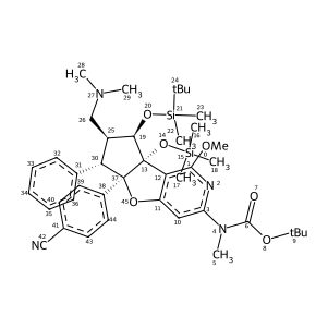 COc1nc(N(C)C(=O)OC(C)(C)C)cc2c1[C@]1(O[Si](C)(C)C)[C@H](O[Si](C)(C)C(C)(C)C)[C@H](CN(C)C)[C@@H](c3ccccc3)[C@]1(c1ccc(C#N)cc1)O2